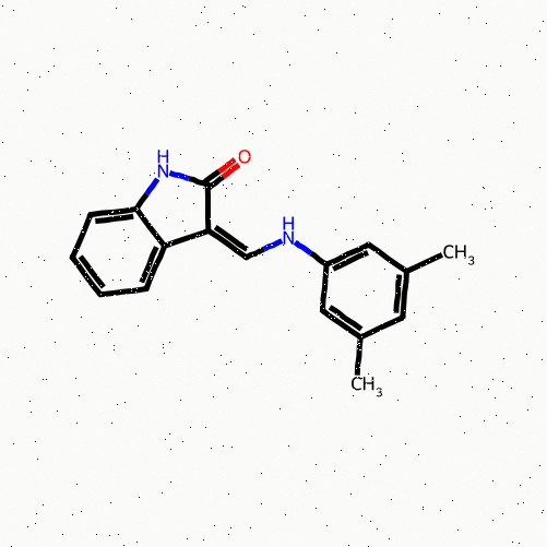 Cc1cc(C)cc(NC=C2C(=O)Nc3ccccc32)c1